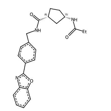 CCC(=O)N[C@H]1CC[C@@H](C(=O)NCc2ccc(-c3nc4ccccc4o3)cc2)C1